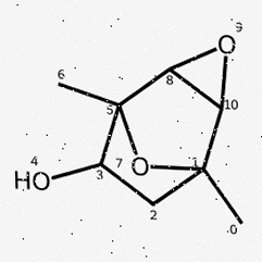 CC12CC(O)C(C)(O1)C1OC12